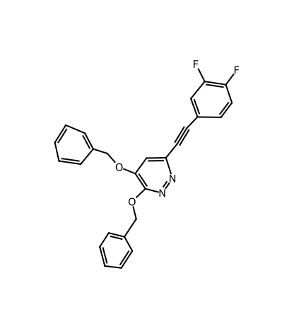 Fc1ccc(C#Cc2cc(OCc3ccccc3)c(OCc3ccccc3)nn2)cc1F